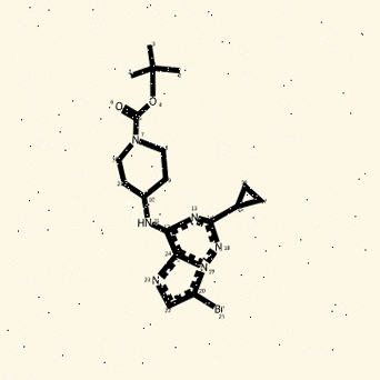 CC(C)(C)OC(=O)N1CCC(Nc2nc(C3CC3)nn3c(Br)cnc23)CC1